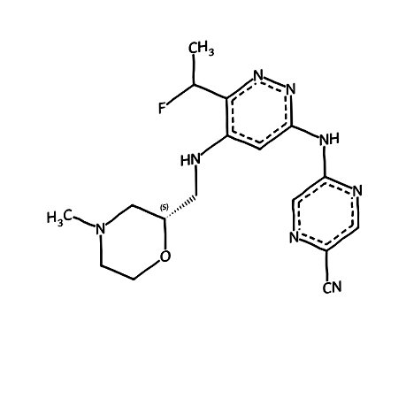 CC(F)c1nnc(Nc2cnc(C#N)cn2)cc1NC[C@H]1CN(C)CCO1